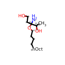 CCCCCCCCCCCCOC(N)(CCO)C(C)O